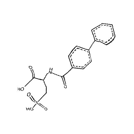 O=C(NC(CS(=O)(=O)O)C(=O)O)c1ccc(-c2ccccc2)cc1